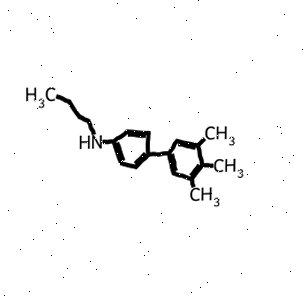 CCCCNc1ccc(-c2cc(C)c(C)c(C)c2)cc1